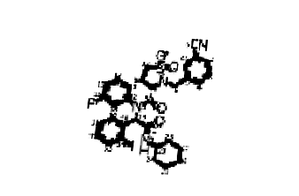 N#Cc1cccc(CN2[C@H](C(=O)N(c3cccc(F)c3)[C@@H](C(=O)NC3CCCCC3)c3ccccc3I)CCS2(=O)=O)c1